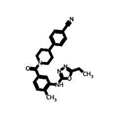 CCc1nnc(Nc2cc(C(=O)N3CCC(c4ccc(C#N)cc4)CC3)ccc2C)o1